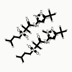 CC(C)CCS(=O)(=O)C(C)(C)C(=O)Nc1cc(C(C)(C)C)nn1C.CC(C)CCS(=O)(=O)C(C)(C)C(=O)Nc1cc(C(C)(C)C)on1